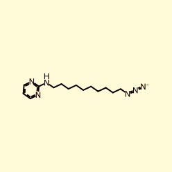 [N-]=[N+]=NCCCCCCCCCCNc1ncccn1